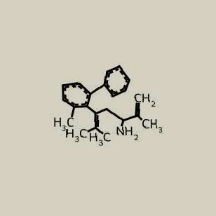 C=C(C)C(N)CC(=C(C)C)c1c(C)cccc1-c1ccccc1